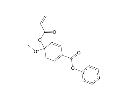 C=CC(=O)OC1(OC)C=CC(C(=O)Oc2ccccc2)=CC1